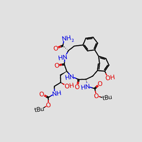 CC(C)(C)OC(=O)NC[C@H](O)C[C@@H]1NC(=O)[C@@H](NC(=O)OC(C)(C)C)Cc2cc(ccc2O)-c2cccc(c2)C[C@@H](C(N)=O)NC1=O